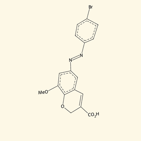 COc1cc(N=Nc2ccc(Br)cc2)cc2c1OCC(C(=O)O)=C2